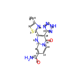 CC(C)c1csc(-c2nc3cc(C(N)=O)ccn3c(=O)c2-c2nn[nH]n2)n1